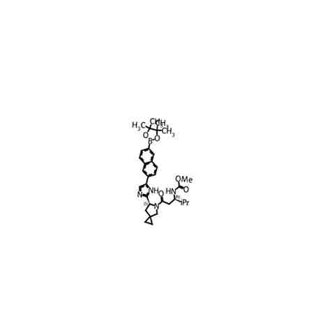 COC(=O)N[C@H](CC(=O)N1CC2(CC2)C[C@H]1c1ncc(-c2ccc3cc(B4OC(C)(C)C(C)(C)O4)ccc3c2)[nH]1)C(C)C